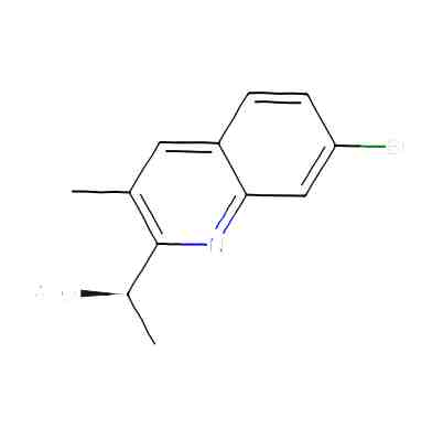 CC(=O)O[C@H](C)c1nc2cc(Br)ccc2cc1C